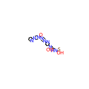 O=C(N1CCN(c2ccccn2)CC1)N1CCN(c2ccc(N3CC(CNC(O)=S)OC3=O)cn2)CC1